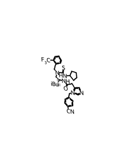 CC[C@H](C)[C@@H](CN(Cc1ccccc1C(F)(F)F)C(=S)NC1CCCC1)NC(=O)Cc1cncn1Cc1ccc(C#N)cc1